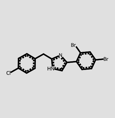 Clc1ccc(Cc2nc(-c3ccc(Br)cc3Br)c[nH]2)cc1